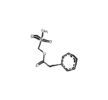 O=C(Cc1ccccc1)OCS(=O)(=O)O